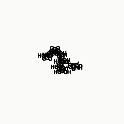 Cc1cn([C@H]2CC(O)[C@@H](COP(=O)(O)OP(=O)(O)OP(=O)(O)OP(=O)(O)OP(=O)(O)OP(=O)(O)OP(=O)(O)OP(=O)(O)OP(=O)(O)OP(=O)(O)OP(=O)(O)OP(=O)(O)O)O2)c(=O)[nH]c1=O